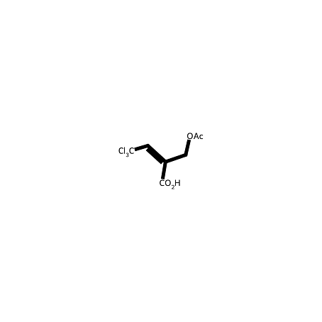 CC(=O)OCC(=CC(Cl)(Cl)Cl)C(=O)O